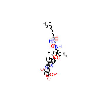 CCCCCCCC(=O)NCC(=O)NCCC(C)(C)C(=O)Oc1ccc2nc3c(c(CC)c2c1)Cn1c-3cc2c(c1=O)COC(=O)C2O